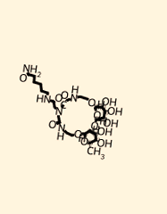 C[C@@H]1O[C@H]2OCCNC(=O)CN(CC(=O)NCCCCCC(N)=O)CC(=O)NCCO[C@@H]3O[C@@H](O[C@H]2[C@H](O)[C@@H]1O)[C@@H](O)[C@@H](O)[C@@H]3O